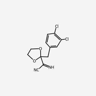 N#CC(=N)C1(Cc2ccc(Cl)c(Cl)c2)OCCO1